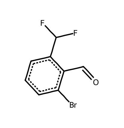 O=Cc1c(Br)cccc1C(F)F